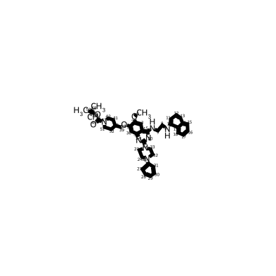 COc1cc2c(NCCNc3cccc4ccccc34)nc(N3CCN(c4ccccc4)CC3)nc2cc1OCC1CCN(C(=O)OC(C)(C)C)CC1